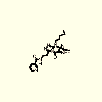 CCCCCn1c2nc(Br)[nH]c2c(=O)n2c(CCNC(=O)c3cccnc3)nnc12